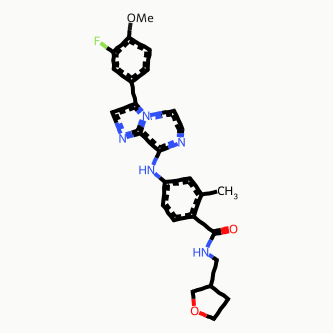 COc1ccc(-c2cnc3c(Nc4ccc(C(=O)NCC5CCOC5)c(C)c4)nccn23)cc1F